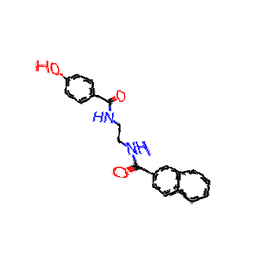 O=C(NCCNC(=O)c1ccc2ccccc2c1)c1ccc(O)cc1